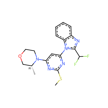 CSc1nc(N2CCOC[C@H]2C)cc(-n2c(C(F)F)nc3ccccc32)n1